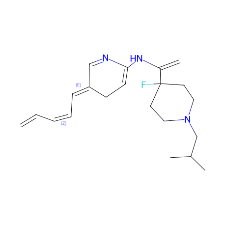 C=C/C=C\C=C1\C=NC(NC(=C)C2(F)CCN(CC(C)C)CC2)=CC1